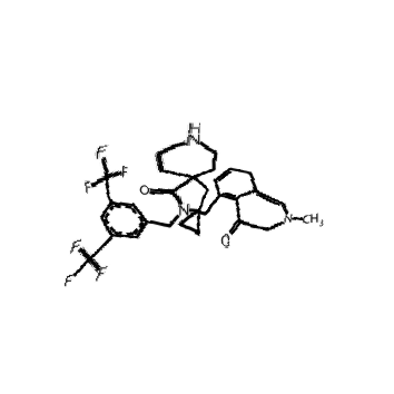 CN1C=C2CC=CC(CN(Cc3cc(C(F)(F)F)cc(C(F)(F)F)c3)C(=O)C3(CC4CC4)CCNCC3)=C2C(=O)C1